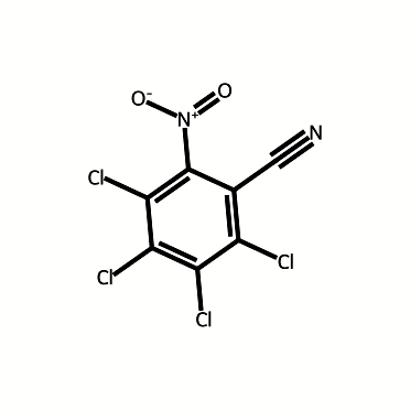 N#Cc1c(Cl)c(Cl)c(Cl)c(Cl)c1[N+](=O)[O-]